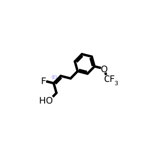 OC/C(F)=C\Cc1cccc(OC(F)(F)F)c1